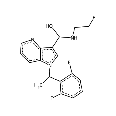 CC(c1c(F)cccc1F)n1cc(C(O)NCCF)c2ncccc21